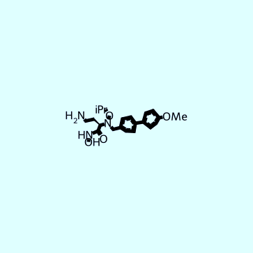 COc1ccc(-c2ccc(CN(OC(C)C)[C@H](CCN)C(=O)NO)cc2)cc1